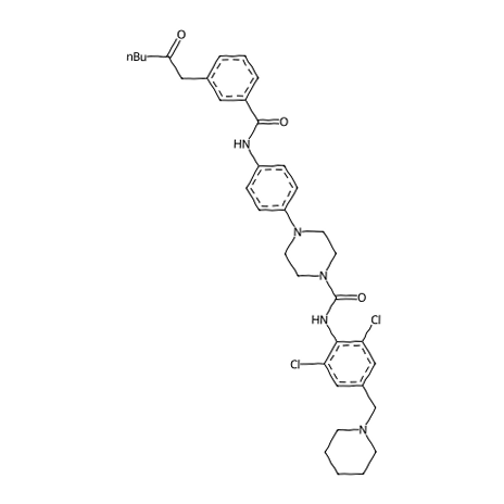 CCCCC(=O)Cc1cccc(C(=O)Nc2ccc(N3CCN(C(=O)Nc4c(Cl)cc(CN5CCCCC5)cc4Cl)CC3)cc2)c1